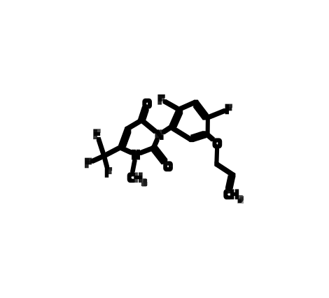 C=CCOc1cc(-n2c(=O)cc(C(F)(F)F)n(C)c2=O)c(F)cc1F